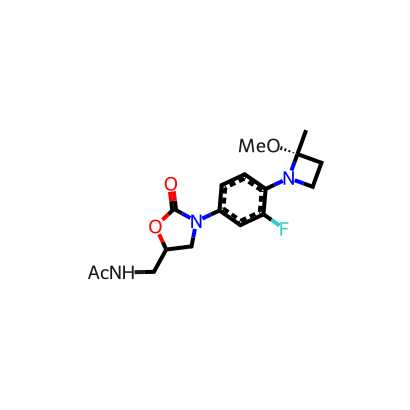 CO[C@]1(C)CCN1c1ccc(N2CC(CNC(C)=O)OC2=O)cc1F